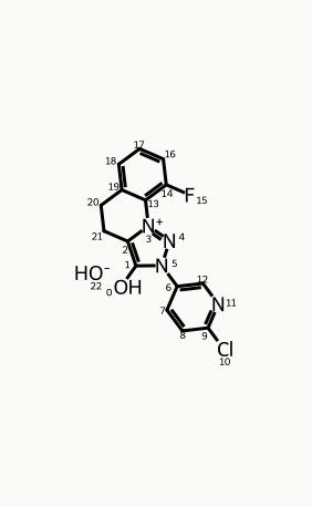 Oc1c2[n+](nn1-c1ccc(Cl)nc1)-c1c(F)cccc1CC2.[OH-]